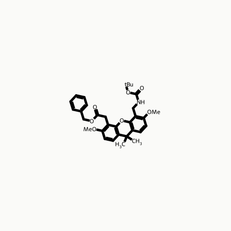 COc1ccc2c(c1CNC(=O)OC(C)(C)C)Oc1c(ccc(OC)c1CC(=O)OCc1ccccc1)C2(C)C